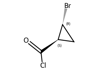 O=C(Cl)[C@@H]1C[C@H]1Br